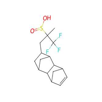 CC(CC1CC2CC1C1C3C=CC(C3)C21)(S(=O)O)C(F)(F)F